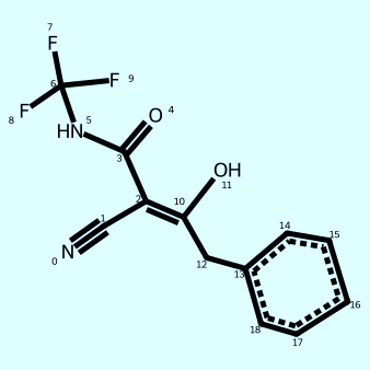 N#C/C(C(=O)NC(F)(F)F)=C(/O)Cc1ccccc1